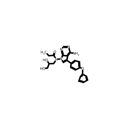 CCC(=O)N(CC(O)CO)n1cc(-c2ccc(Oc3ccccc3)cc2)c2c(N)ncnc21